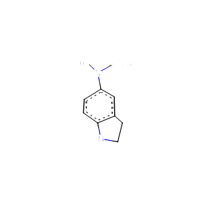 CCCCCN(CCCCC)c1ccc2c(c1)CCN2